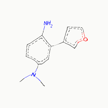 CN(C)c1ccc(N)c(-c2ccoc2)c1